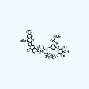 CCCCc1c2c(nc3cc4c(cc13)OCO4)-c1cc3c(c(=O)n1C2)COC(=O)[C@@]3(CC)OCN(CCS(C)(=O)=O)C(=O)OCc1ccc(O[C@@H]2O[C@H](C(=O)O)[C@@H](O)[C@H](O)[C@H]2O)c(NC(=O)CNC)c1